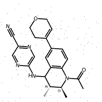 CC(=O)N1c2ccc(C3=CCOCC3)cc2C(Nc2cnc(C#N)cn2)[C@@H](C)[C@@H]1C